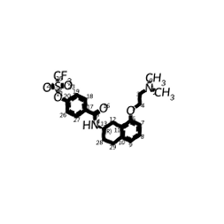 CN(C)CCOc1cccc2c1C[C@H](NC(=O)c1ccc(OS(=O)(=O)C(F)(F)F)cc1)CC2